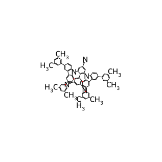 Cc1cc(C)cc(-c2ccc3c(c2)c2cc(-c4cc(C)cc(C)c4)ccc2n3-c2cc(C#N)cc(-n3c4ccc(-c5cc(C)cc(C)c5)cc4c4cc(-c5cc(C)cc(C)c5)ccc43)c2-c2cc(C#N)cc(C#N)c2)c1